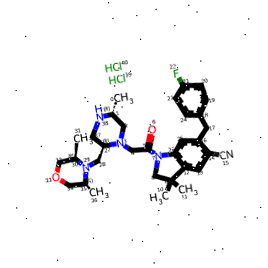 C[C@@H]1CN(CC(=O)N2CC(C)(C)c3cc(C#N)c(Cc4ccc(F)cc4)cc32)[C@@H](CN2[C@H](C)COC[C@H]2C)CN1.Cl.Cl